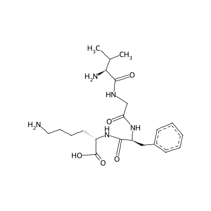 CC(C)[C@H](N)C(=O)NCC(=O)N[C@@H](Cc1ccccc1)C(=O)N[C@@H](CCCCN)C(=O)O